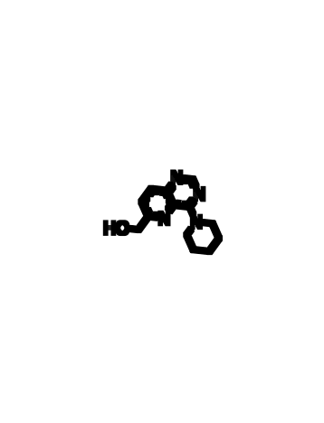 OCc1ccc2ncnc(N3CCCCC3)c2n1